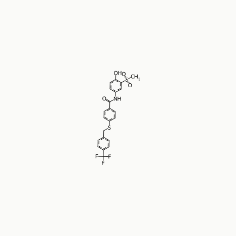 CS(=O)(=O)c1cc(NC(=O)c2ccc(SCc3ccc(C(F)(F)F)cc3)cc2)ccc1O